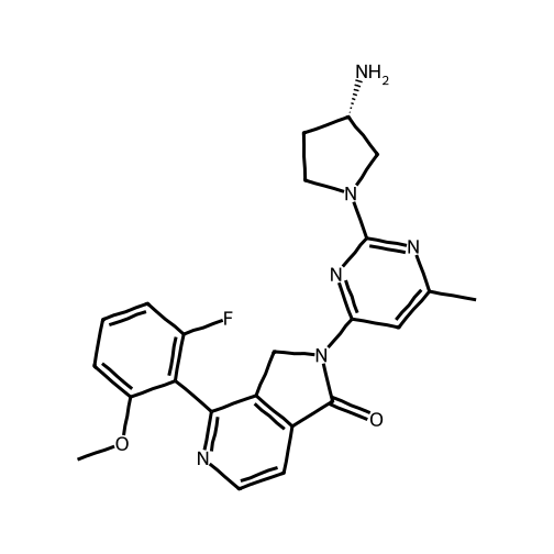 COc1cccc(F)c1-c1nccc2c1CN(c1cc(C)nc(N3CC[C@H](N)C3)n1)C2=O